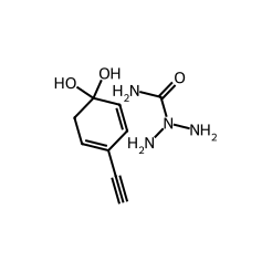 C#CC1=CCC(O)(O)C=C1.NC(=O)N(N)N